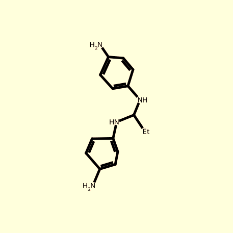 CCC(Nc1ccc(N)cc1)Nc1ccc(N)cc1